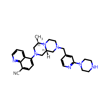 C[C@@H]1CN(c2ccc(C#N)c3ncccc23)C[C@H]2CN(Cc3ccnc(N4CCNCC4)c3)CCN21